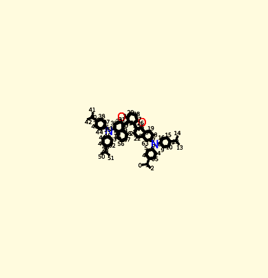 CC(C)c1ccc(N(c2ccc(C(C)C)cc2)c2ccc3c(ccc4c3oc3ccc5oc6cc(N(c7ccc(C(C)C)cc7)c7ccc(C(C)C)cc7)c7ccccc7c6c5c34)c2)cc1